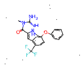 CN(C(=N)N)C(=O)c1cc2c(C(F)(F)F)ccc(Oc3ccccc3)c2[nH]1